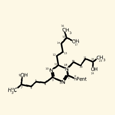 CCCCCC1=NC(CCCC(C)O)=NC(CCCC(C)O)N1CCCC(C)O